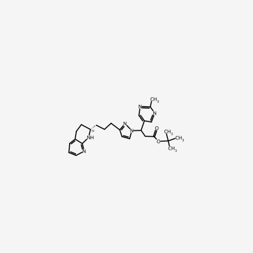 Cc1ncc(C(CC(=O)OC(C)(C)C)n2ccc(CCC[C@H]3CCc4cccnc4N3)n2)cn1